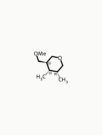 COC[C@H]1COC[C@H](C)[C@@H]1C